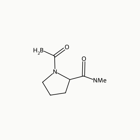 BC(=O)N1CCCC1C(=O)NC